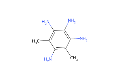 Cc1c(N)c(C)c(N)c(N)c1N